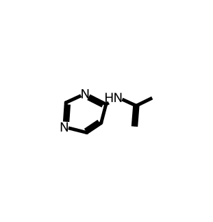 C=C(C)Nc1ccncn1